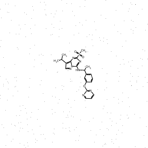 CC(C)c1cnn2c(NC(C)c3cccc(Oc4ncccn4)c3)nc(S(C)(=O)=O)nc12